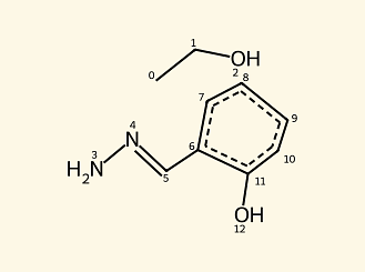 CCO.NN=Cc1ccccc1O